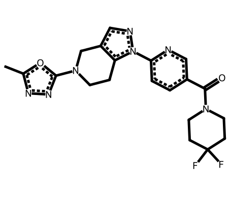 Cc1nnc(N2CCc3c(cnn3-c3ccc(C(=O)N4CCC(F)(F)CC4)cn3)C2)o1